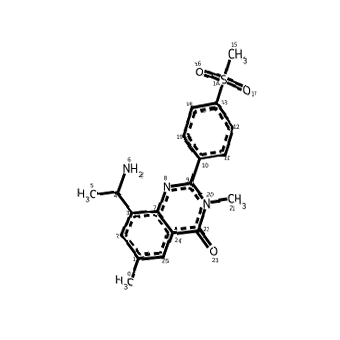 Cc1cc(C(C)N)c2nc(-c3ccc(S(C)(=O)=O)cc3)n(C)c(=O)c2c1